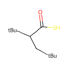 CC(C)(C)CC(C(=O)S)C(C)(C)C